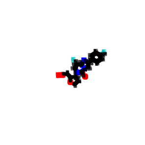 O=c1n([C@H]2CCOC2CO)cc(F)c2nc(-c3ccc(F)cc3)cn12